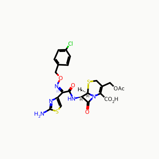 CC(=O)OCC1=C(C(=O)O)N2C(=O)[C@@H](NC(=O)/C(=N\OCc3ccc(Cl)cc3)c3csc(N)n3)[C@H]2SC1